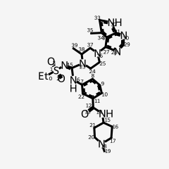 CCS(=O)(=O)N=C(Nc1cccc(C(=O)NC2CCN(C)CC2)c1)N1CCN(c2ncnc3[nH]cc(C)c23)CC1C